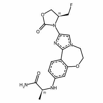 C[C@H](Nc1ccc2c(c1)OCCn1cc(N3C(=O)OC[C@H]3CF)nc1-2)C(N)=O